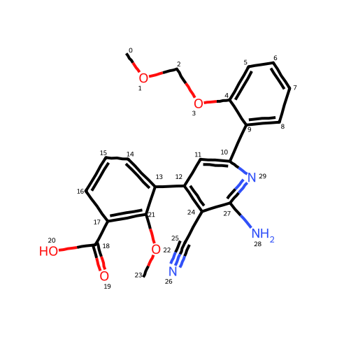 COCOc1ccccc1-c1cc(-c2cccc(C(=O)O)c2OC)c(C#N)c(N)n1